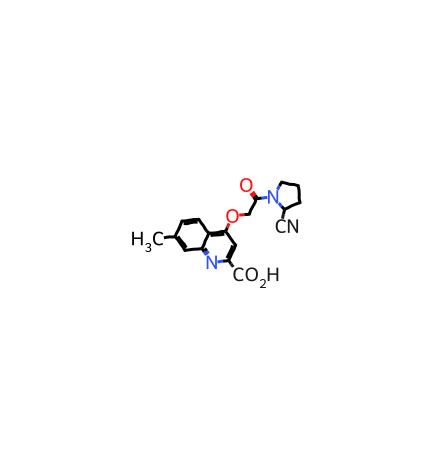 Cc1ccc2c(OCC(=O)N3CCCC3C#N)cc(C(=O)O)nc2c1